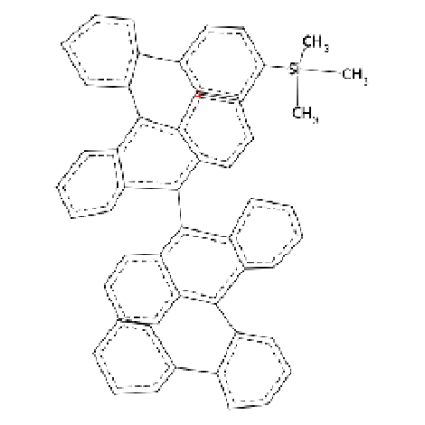 C[Si](C)(C)c1ccc(-c2ccccc2-c2c3ccccc3c(-c3c4ccccc4c(-c4ccccc4-c4ccccc4)c4ccccc34)c3ccccc23)cc1